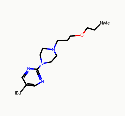 CCC(C)c1cnc(N2CCN(CCCOCCNC)CC2)nc1